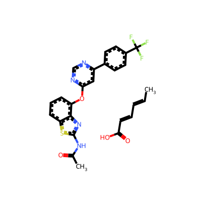 CC(=O)Nc1nc2c(Oc3cc(-c4ccc(C(F)(F)F)cc4)ncn3)cccc2s1.CC=CC=CC(=O)O